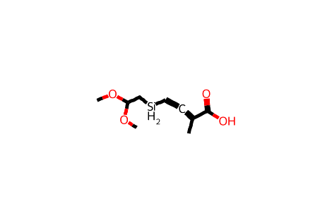 COC(C[SiH2]C=C=C(C)C(=O)O)OC